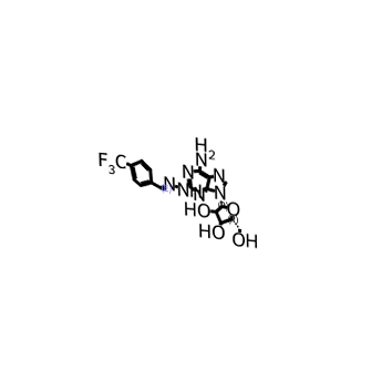 Nc1nc(N/N=C/c2ccc(C(F)(F)F)cc2)nc2c1ncn2[C@@H]1O[C@H](CO)C(O)C1O